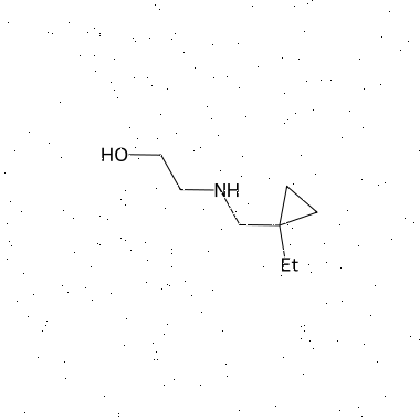 CCC1(CNCCO)CC1